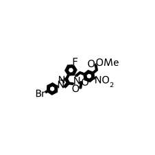 COC(=O)Cc1cc(CCN2C(=O)COC2c2cn(-c3ccc(Br)cc3)nc2-c2ccc(F)cc2)ccc1[N+](=O)[O-]